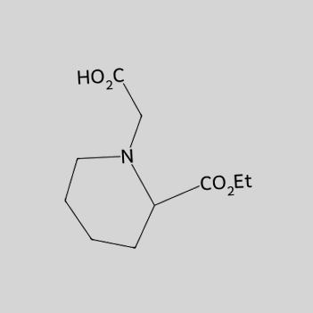 CCOC(=O)C1CCCCN1CC(=O)O